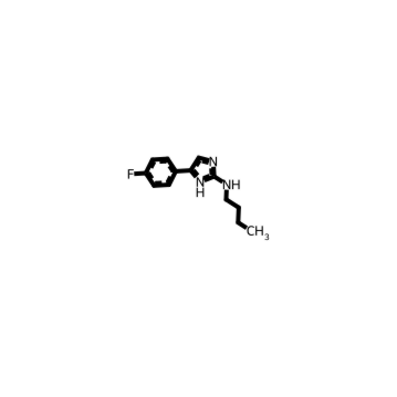 CCCCNc1ncc(-c2ccc(F)cc2)[nH]1